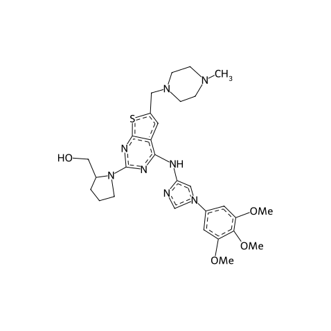 COc1cc(-n2cnc(Nc3nc(N4CCCC4CO)nc4sc(CN5CCN(C)CC5)cc34)c2)cc(OC)c1OC